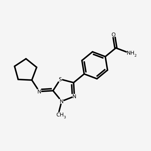 Cn1nc(-c2ccc(C(N)=O)cc2)sc1=NC1CCCC1